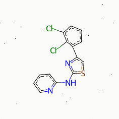 Clc1cccc(-c2csc(Nc3ccccn3)n2)c1Cl